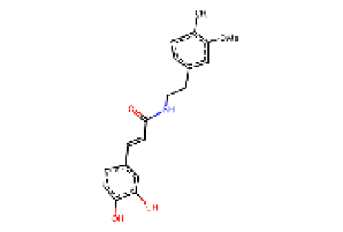 COc1cc(CCNC(=O)C=Cc2ccc(O)c(O)c2)ccc1C